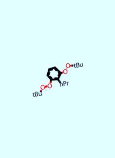 CCCc1c(OOC(C)(C)C)cccc1OOC(C)(C)C